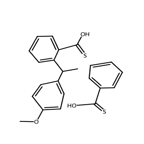 COc1ccc(C(C)c2ccccc2C(O)=S)cc1.OC(=S)c1ccccc1